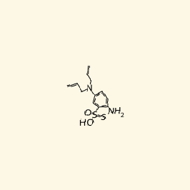 C=CCN(CC=C)c1ccc(N)c(S(=O)(O)=S)c1